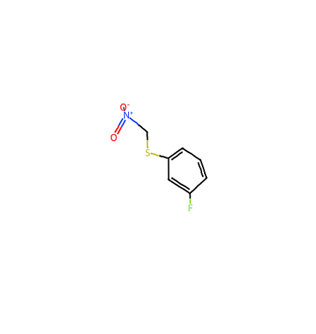 O=[N+]([O-])CSc1cccc(F)c1